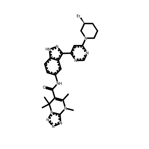 CC[C@H]1CCCN(c2cc(-c3n[nH]c4ccc(NC(=O)C5=C(C)N(C)c6nnnn6C5(C)C)cc34)ncn2)C1